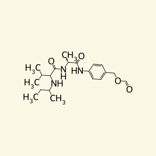 CCC(C)NC(C(=O)N[C@@H](C)C(=O)Nc1ccc(COC=O)cc1)C(C)C